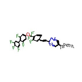 CCCCCc1cnc(C#Cc2ccc(C(F)(F)Oc3cc(F)c(-c4cc(F)c(F)c(F)c4)c(F)c3)c(F)c2)nc1